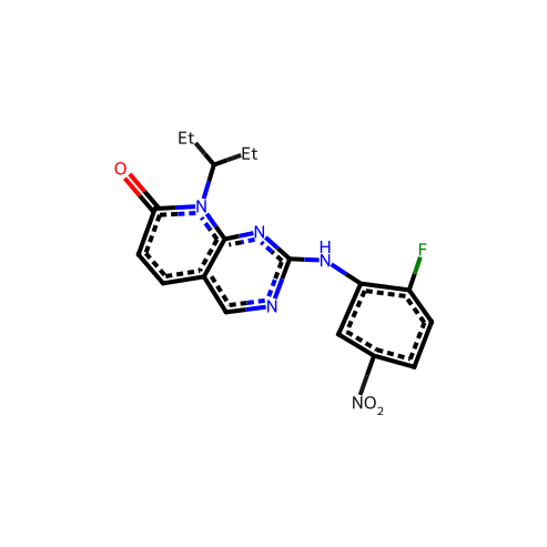 CCC(CC)n1c(=O)ccc2cnc(Nc3cc([N+](=O)[O-])ccc3F)nc21